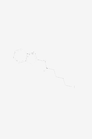 CCCCCC(=O)Nc1nc2ccccc2s1